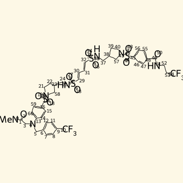 CNC(=O)CN(Cc1ccc(C(F)(F)F)cc1)c1ccc(S(=O)(=O)N2CCC(CNS(=O)(=O)/C=C/C=C/S(=O)(=O)NCC3CCN(S(=O)(=O)c4ccc(C(=O)NCCC(F)(F)F)cc4)C3)C2)cc1